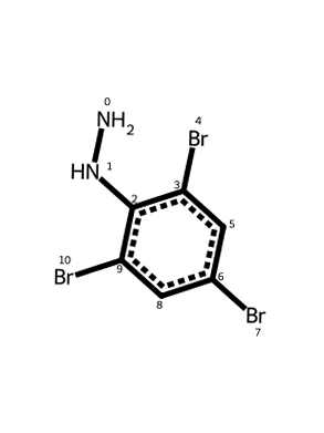 NNc1c(Br)cc(Br)cc1Br